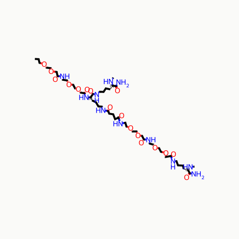 CCCOCCOCC(=O)NCCOCCOCC(=O)N[C@@H](CCCCNC(=O)CCCC(=O)NCCOCCOCC(=O)NCCOCCOCC(=O)NCCCC[C@H](NC)C(N)=O)C(=O)NCCCC[C@H](NC)C(N)=O